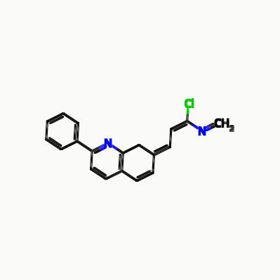 C=N/C(Cl)=C\C=C1\C=Cc2ccc(-c3ccccc3)nc2C1